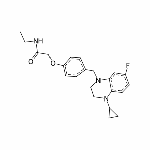 CCNC(=O)COc1ccc(CN2CCN(C3CC3)c3ccc(F)cc32)cc1